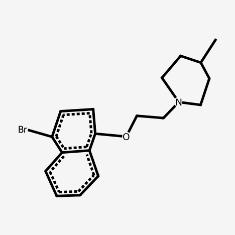 CC1CCN(CCOc2ccc(Br)c3ccccc23)CC1